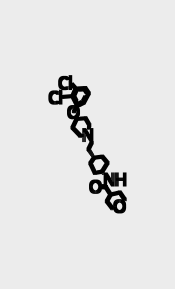 O=C(N[C@H]1CC[C@H](CCN2CCC(Oc3cccc(Cl)c3Cl)CC2)CC1)C1CCOCC1